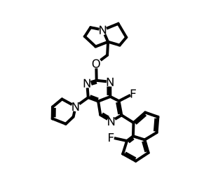 Fc1c(-c2cccc3cccc(F)c23)ncc2c(N3CC=CCC3)nc(OCC34CCCN3CCC4)nc12